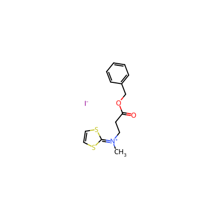 C[N+](CCC(=O)OCc1ccccc1)=c1sccs1.[I-]